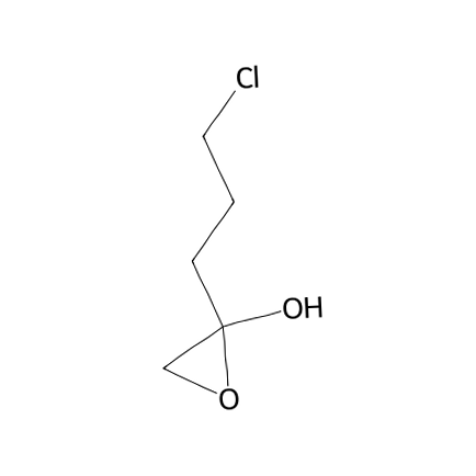 OC1(CCCCl)CO1